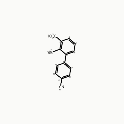 CCCCc1c(C(=O)O)cccc1-c1ccc(C#N)cc1